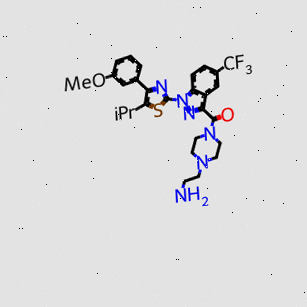 COc1cccc(-c2nc(-n3nc(C(=O)N4CCN(CCN)CC4)c4cc(C(F)(F)F)ccc43)sc2C(C)C)c1